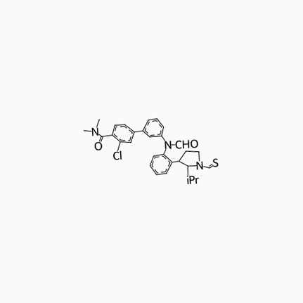 CC(C)C1C(c2ccccc2N(C=O)c2cccc(-c3ccc(C(=O)N(C)C)c(Cl)c3)c2)CCN1C=S